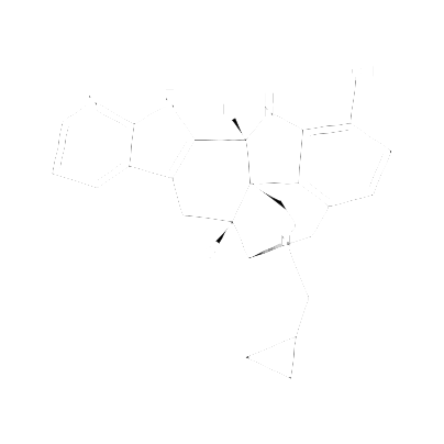 Oc1ccc2c3c1N[C@H]1c4[nH]c5ncccc5c4C[C@@]4(O)C(C2)N(CC2CC2)CC[C@]314